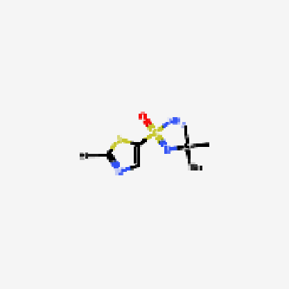 CCc1ncc(S(N)(=O)=N[Si](C)(C)C(C)(C)C)s1